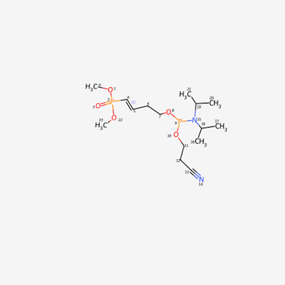 COP(=O)(/C=C/CCOP(OCCC#N)N(C(C)C)C(C)C)OC